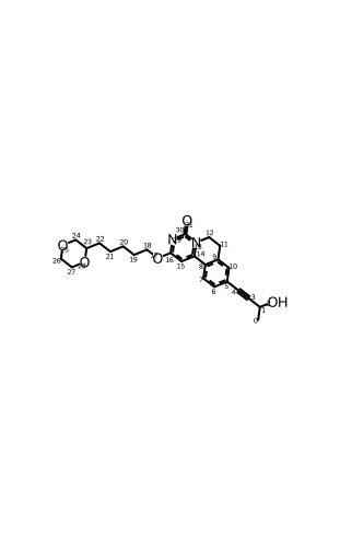 CC(O)C#Cc1ccc2c(c1)CCn1c-2cc(OCCCCCC2COCCO2)nc1=O